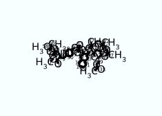 COC(=O)C(Cc1ccc(OS(=O)(=O)Oc2cc3ccccc3cc2O[C@@H]2O[C@H](COC(C)=O)[C@H](OC(C)=O)[C@H](OC(C)=O)[C@H]2OC(C)=O)cc1)NC(=O)OC(C)(C)C